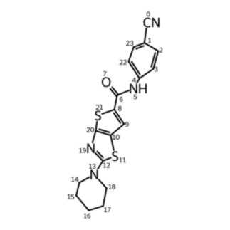 N#Cc1ccc(NC(=O)c2cc3sc(N4CCCCC4)nc3s2)cc1